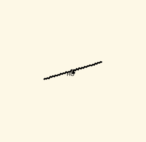 CCCCCCCCCCCCCCCCCCCCCCN(CCCCCCCCCCCCCCCCCCCCCC)C(C)O